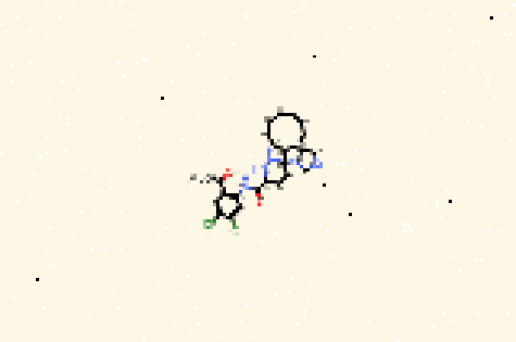 COC(=O)c1cc(Cl)c(Cl)cc1NC(=O)C1CCC(C2CCCCCCCC2)(N2CCNC2)NN1